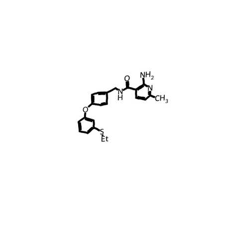 CCSc1cccc(Oc2ccc(CNC(=O)c3ccc(C)nc3N)cc2)c1